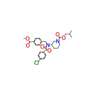 COC(=O)c1ccc(CN(C2CCCN(C(=O)OCC(C)C)C2)S(=O)(=O)c2ccc(Cl)cc2)cc1